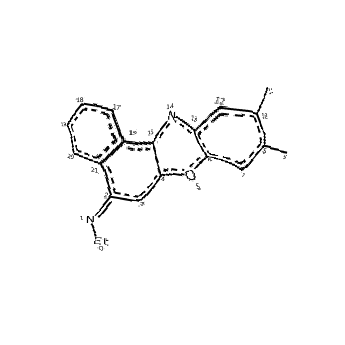 CC/N=c1\cc2oc3cc(C)c(C)cc3nc-2c2ccccc12